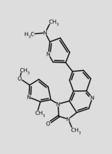 COc1ccc(-n2c(=O)n(C)c3cnc4ccc(-c5ccc(N(C)C)nc5)cc4c32)c(C)n1